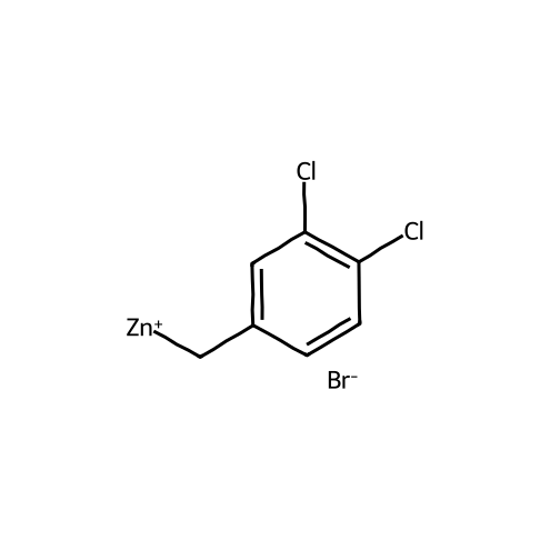 Clc1ccc([CH2][Zn+])cc1Cl.[Br-]